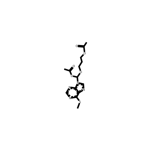 CSc1ncnc2c1ncn2C(OCCCOC(C)=O)OC(C)=O